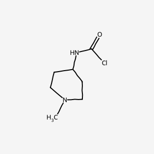 CN1CCC(NC(=O)Cl)CC1